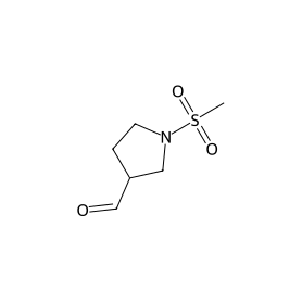 CS(=O)(=O)N1CCC(C=O)C1